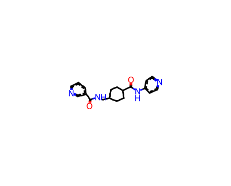 O=C(NCC1CCC(C(=O)Nc2ccncc2)CC1)c1cccnc1